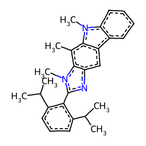 Cc1c2c(cc3c4ccccc4n(C)c13)nc(-c1c(C(C)C)cccc1C(C)C)n2C